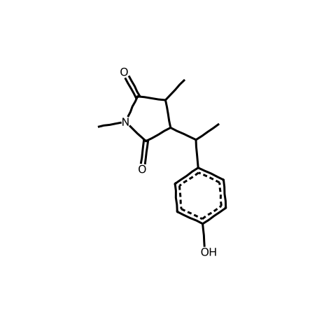 CC1C(=O)N(C)C(=O)C1C(C)c1ccc(O)cc1